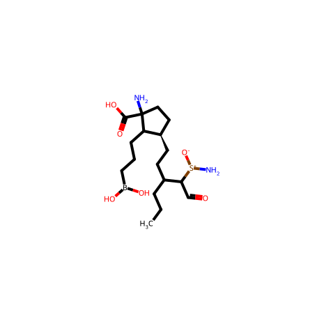 CCCC(CC[C@@H]1CCC(N)(C(=O)O)C1CCCB(O)O)C(C=O)[S+](N)[O-]